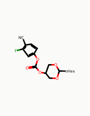 CCCCCCC1OCC(OC(=O)Oc2ccc(C#N)c(F)c2)CO1